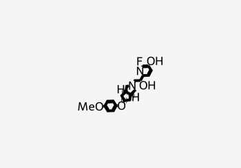 COc1ccc(O[C@H]2C[C@@H]3CN(CC(O)c4ccc(O)c(F)n4)C[C@@H]3C2)cc1